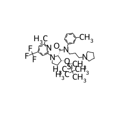 Cc1cccc(N(CCCN2CCCC2)C(=O)[C@@H]2[C@H](O[Si](C)(C)C(C)(C)C)CCN2c2cc(C(F)(F)F)cc(C)n2)c1